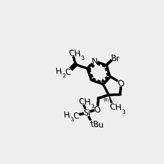 C=C(C)c1cc2c(c(Br)n1)OC[C@]2(C)CO[Si](C)(C)C(C)(C)C